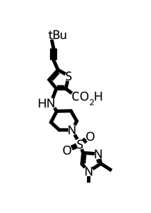 Cc1nc(S(=O)(=O)N2CCC(Nc3cc(C#CC(C)(C)C)sc3C(=O)O)CC2)cn1C